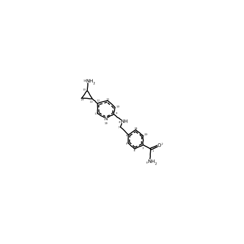 NC(=O)c1ccc(CNc2ccc(C3CC3N)cn2)cc1